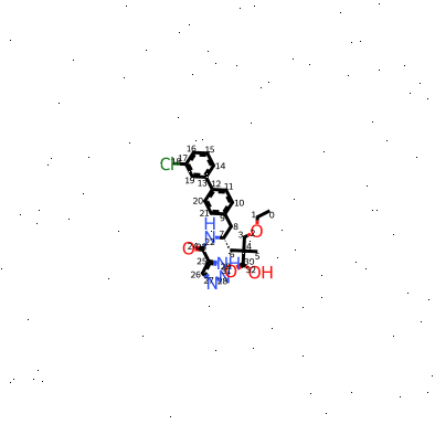 CCOCC(C)(C[C@@H](Cc1ccc(-c2cccc(Cl)c2)cc1)NC(=O)c1cnn[nH]1)C(=O)O